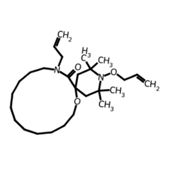 C=CCON1C(C)(C)CC2(CC1(C)C)OCCCCCCCCCCCN(CC=C)C2=O